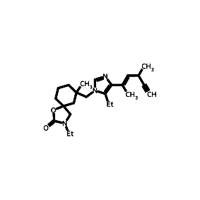 C#CC(C)/C=C(\C)c1ncn(CC2(C)CCCC3(CN(CC)C(=O)O3)C2)c1CC